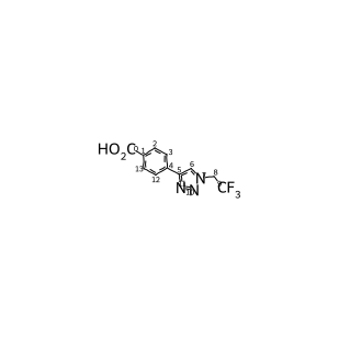 O=C(O)c1ccc(-c2cn(CC(F)(F)F)nn2)cc1